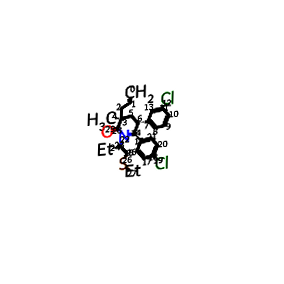 C=CC[C@@]1(C)C[C@H](c2cccc(Cl)c2)[C@@H](c2ccc(Cl)cc2)N([C@@H](CC)CSCC)C1=O